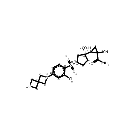 N#CC1(C(N)=O)CC1[C@@]1(C(=O)O)CC[C@H](S(=O)(=O)c2ccc(N3CC4(COC4)C3)cc2Cl)C1